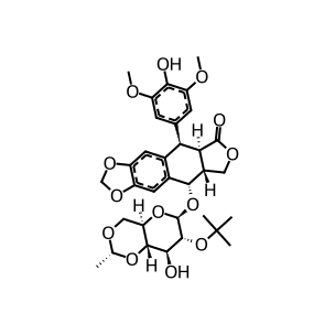 COc1cc([C@@H]2c3cc4c(cc3[C@@H](O[C@@H]3O[C@@H]5CO[C@@H](C)O[C@H]5[C@H](O)[C@H]3OC(C)(C)C)[C@H]3COC(=O)[C@H]23)OCO4)cc(OC)c1O